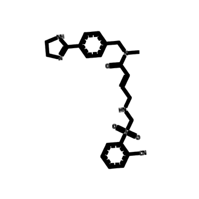 CN(Cc1ccc(C2=NCCN2)cc1)C(=O)/C=C/CNCS(=O)(=O)c1ccccc1C#N